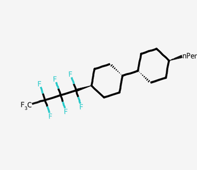 CCCCC[C@H]1CC[C@H]([C@H]2CC[C@H](C(F)(F)C(F)(F)C(F)(F)C(F)(F)F)CC2)CC1